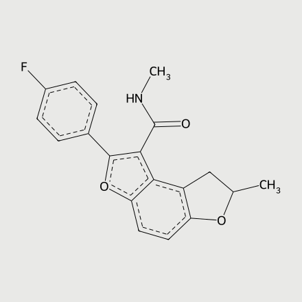 CNC(=O)c1c(-c2ccc(F)cc2)oc2ccc3c(c12)CC(C)O3